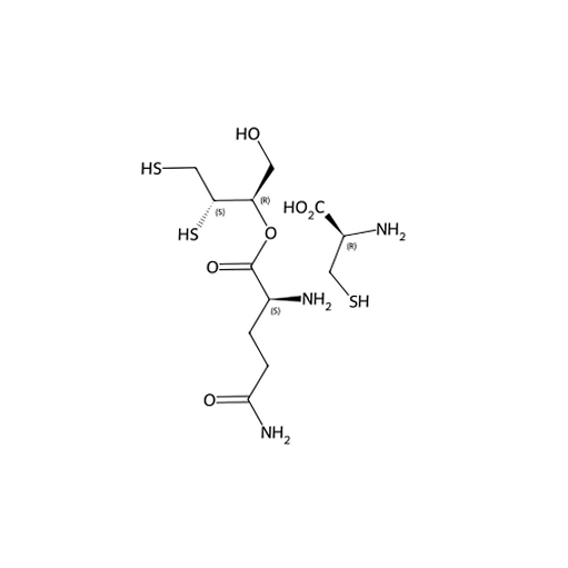 NC(=O)CC[C@H](N)C(=O)O[C@H](CO)[C@H](S)CS.N[C@@H](CS)C(=O)O